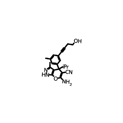 Cc1cc(C#CCCO)cc(C2(C(C)C)C(C#N)=C(N)Oc3[nH]nc(C)c32)c1